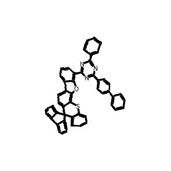 c1ccc(-c2ccc(-c3nc(-c4ccccc4)nc(-c4cccc5c4oc4c6c(ccc45)C4(c5ccccc5S6)c5ccccc5-c5ccccc54)n3)cc2)cc1